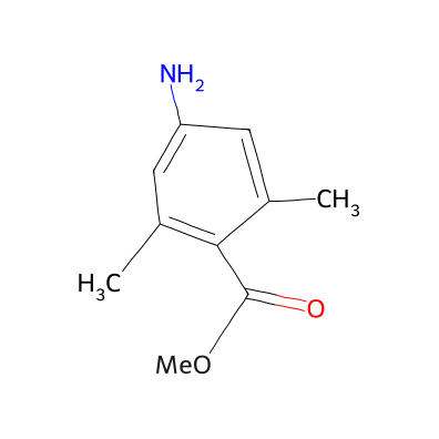 COC(=O)c1c(C)cc(N)cc1C